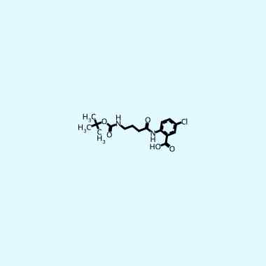 CC(C)(C)OC(=O)NCCCC(=O)Nc1ccc(Cl)cc1C(=O)O